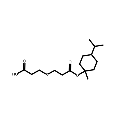 CC(C)C1CCC(C)(OC(=O)CCSCCC(=O)O)CC1